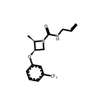 C=CCNC(=O)N1C[C@@H](Oc2cccc(C(F)(F)F)c2)[C@H]1C